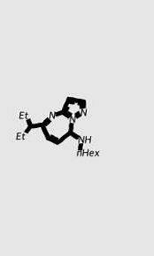 CCCCCCNC1C=CC(C(CC)CC)=Nc2ccnn21